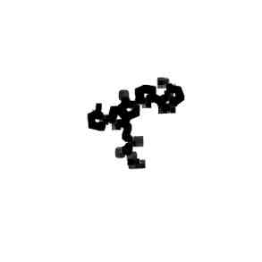 CC[C@H]1CCc2nnc(-c3cccc(N4Cc5c(cc(N6CCC[C@H]6C)nc5CCNC(=O)OC(C)(C)C)C4=O)n3)n21